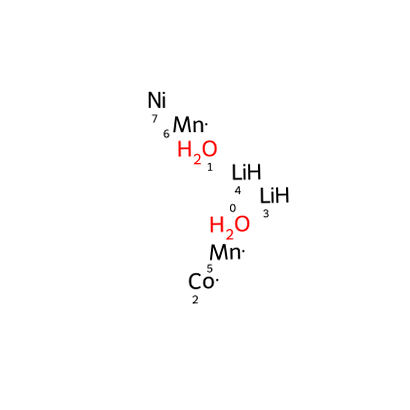 O.O.[Co].[LiH].[LiH].[Mn].[Mn].[Ni]